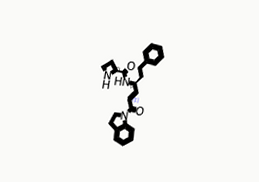 O=C(N[C@H](/C=C/C(=O)N1CCc2ccccc21)CCc1ccccc1)[C@@H]1CCN1